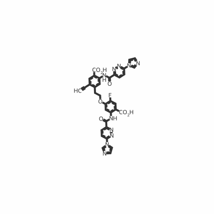 C#Cc1cc(C(=O)O)c(NC(=O)c2ccc(-n3ccnc3)nn2)cc1CCOc1cc(NC(=O)c2ccc(-n3ccnc3)nn2)c(C(=O)O)cc1F